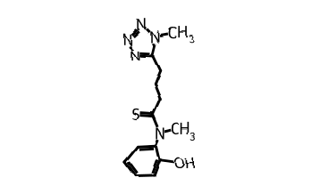 CN(C(=S)CCCc1nnnn1C)c1ccccc1O